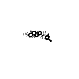 C#Cc1ccc(NC(=O)[C@H]2CC[C@H]3[C@@H]4CC[C@@H]5C[C@](C)(O)CC[C@@H]5[C@H]4CC[C@]23C)c(C)c1